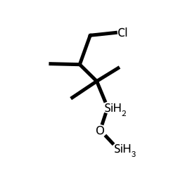 CC(CCl)C(C)(C)[SiH2]O[SiH3]